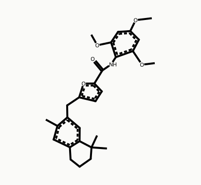 COc1cc(OC)c(NC(=O)c2ccc(Cc3cc4c(cc3C)CCCC4(C)C)o2)c(OC)c1